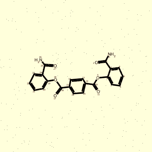 NC(=O)c1ccccc1OC(=O)c1ccc(C(=O)Oc2ccccc2C(N)=O)cc1